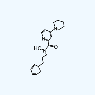 O=C(c1cc(N2CCCCC2)ccn1)N(O)CCCC1C=CC=CC1